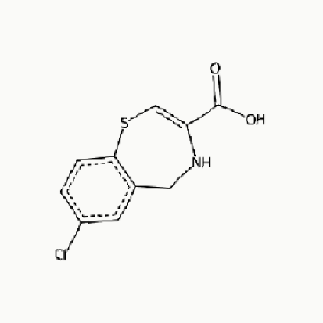 O=C(O)C1=CSc2ccc(Cl)cc2CN1